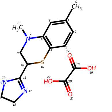 Cc1ccc2c(c1)N(C)CC(C1=NCCN1)S2.O=C(O)C(=O)O